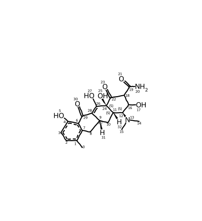 Cc1ccc(O)c2c1C[C@H]1C[C@H]3[C@H](N(C)C)C(O)C(C(N)=O)C(=O)[C@@]3(O)C(O)=C1C2=O